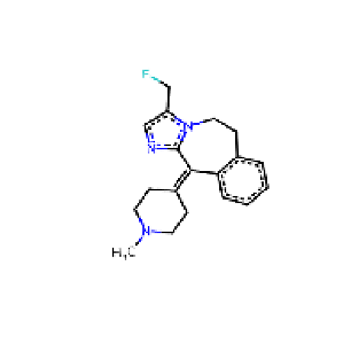 CN1CCC(=C2c3ccccc3CCn3c(CF)cnc32)CC1